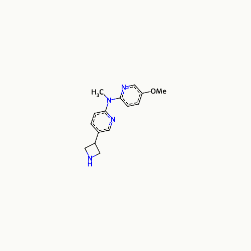 COc1ccc(N(C)c2ccc(C3CNC3)cn2)nc1